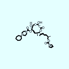 C/C(=C\C=C\[C@@H](C)COC(=O)N1CC=CC1)[C@H]1OC(=O)C[C@@H](O)CC[C@](C)(O)[C@@H](OC(=O)N2CCN(C3CCCCCC3)CC2)/C=C/[C@@H]1C